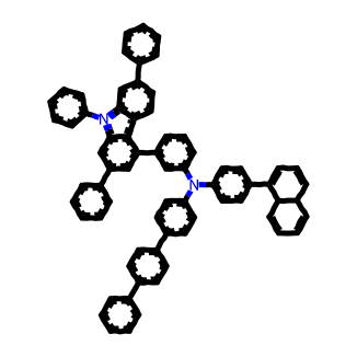 C1=CC2C=CC=C(c3ccc(N(c4ccc(-c5ccc(-c6ccccc6)cc5)cc4)c4cccc(-c5cc(-c6ccccc6)cc6c5c5ccc(-c7ccccc7)cc5n6-c5ccccc5)c4)cc3)C2C=C1